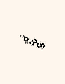 N[C@H]1CC[C@H](Nc2ncc3c(-c4ccc5ncccc5n4)ccn3n2)CC1